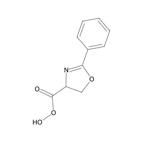 O=C(OO)C1COC(c2ccccc2)=N1